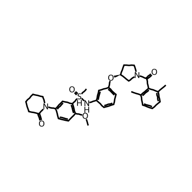 COc1ccc(N2CCCCC2=O)cc1[SH](C)(=O)Nc1cccc(O[C@H]2CCN(C(=O)c3c(C)cccc3C)C2)c1